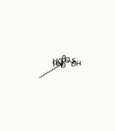 CCCCCCCCCCCCCCCCNC(=O)c1cc(OCCCC(O)=S)c2ccccc2c1O